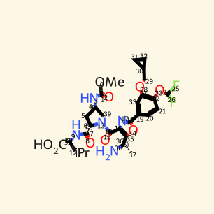 COC(=O)N[C@@H]1C[C@@H](C(=O)N[C@H](C(=O)O)C(C)C)N(C(=O)c2nc(-c3ccc(OC(F)F)c(OCC4CC4)c3)oc2[C@H](C)N)C1